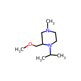 COCC1CN(C)CCN1C(C)C